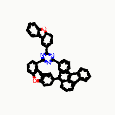 c1ccc(-c2nc(-c3ccc4oc5ccccc5c4c3)nc(-c3cccc4oc5ccc(-c6ccc7c8c(cccc68)-c6ccccc6-7)cc5c34)n2)cc1